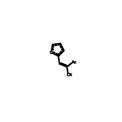 CC(=O)/C(C#N)=C\c1ccco1